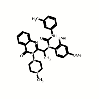 COc1ccc(N(C(=O)Nc2cccc(C)c2)C(C)c2nc3ccccc3c(=O)n2N2CCN(C)CC2)c(OC)c1